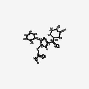 COC(=O)Cc1cc(C(=O)C2CCCCC2)sc1-c1ccccc1